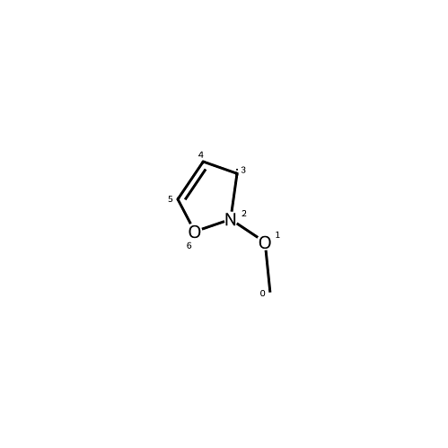 CON1[CH]C=CO1